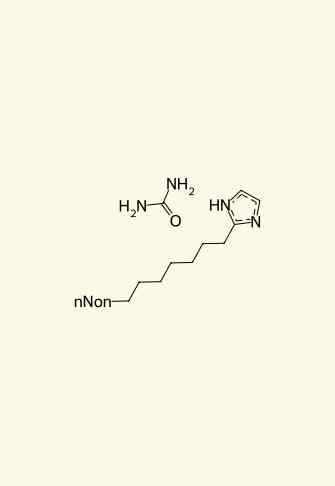 CCCCCCCCCCCCCCCCc1ncc[nH]1.NC(N)=O